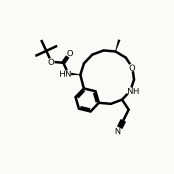 C[C@@H]1CCC[C@H](NC(=O)OC(C)(C)C)c2cccc(c2)CC(CC#N)NCOC1